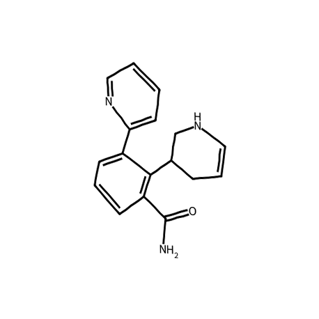 NC(=O)c1cccc(-c2ccccn2)c1C1CC=CNC1